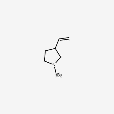 C=CC1CCN(C(C)(C)C)C1